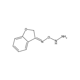 NNO/N=C1\COc2ccccc21